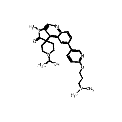 CC(O)N1CCC2(CC1)C(=O)N(C)c1cnc3ccc(-c4ccc(OCCCN(C)C)nc4)cc3c12